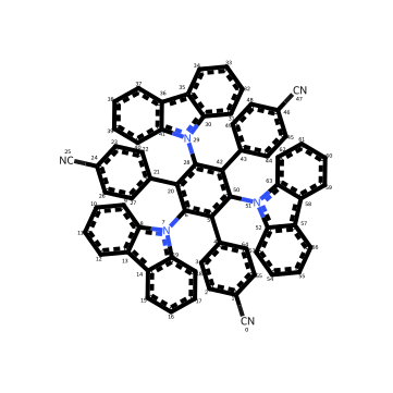 N#Cc1ccc(-c2c(-n3c4ccccc4c4ccccc43)c(-c3ccc(C#N)cc3)c(-n3c4ccccc4c4ccccc43)c(-c3ccc(C#N)cc3)c2-n2c3ccccc3c3ccccc32)cc1